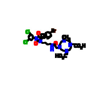 CN1CCN(CC(=O)O)CCN(CC(=O)O)CCN(CC(=O)NCCCCN2C(=O)N(c3cc(Cl)cc(Cl)c3)C(=O)[C@]2(C)Cc2ccc(Br)cc2)CC1